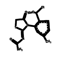 CCC(OC)c1ccc(C)cc1N1C(=O)CSC1=NC(N)=O